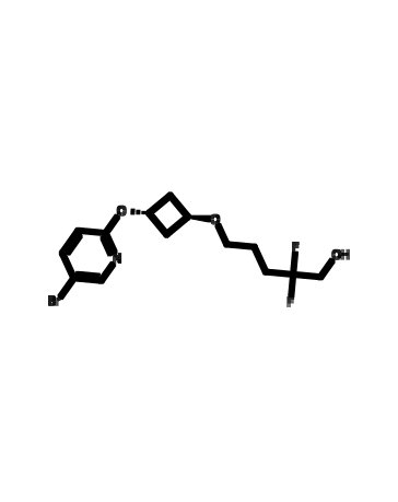 OCC(F)(F)CCCO[C@H]1C[C@H](Oc2ccc(Br)cn2)C1